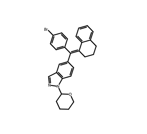 Brc1ccc(/C(=C2/CCCc3ccccc32)c2ccc3c(cnn3C3CCCCO3)c2)cc1